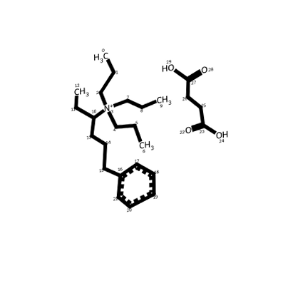 CCC[N+](CCC)(CCC)C(CC)CCCc1ccccc1.O=C(O)CCC(=O)O